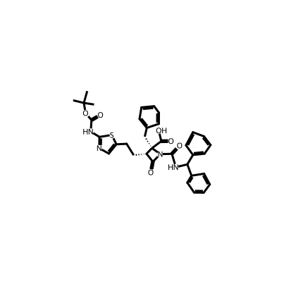 CC(C)(C)OC(=O)Nc1ncc(CC[C@H]2C(=O)N(C(=O)NC(c3ccccc3)c3ccccc3)[C@]2(Cc2ccccc2)C(=O)O)s1